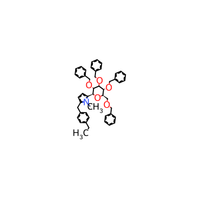 CCc1ccc(Cc2ccc([C@@H]3O[C@H](COCc4ccccc4)[C@@H](OCc4ccccc4)[C@H](OCc4ccccc4)[C@H]3OCc3ccccc3)n2C)cc1